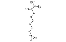 CCN(CC)C(=O)CCCCCCC1=CC1